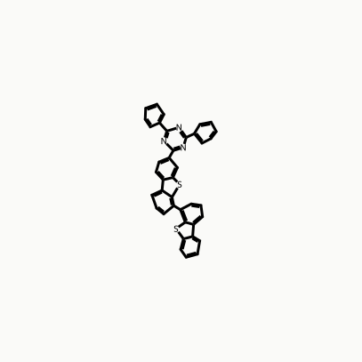 c1ccc(-c2nc(-c3ccccc3)nc(-c3ccc4c(c3)sc3c(-c5cccc6c5sc5ccccc56)cccc34)n2)cc1